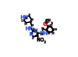 O=[N+]([O-])c1cnc(NCC2CCNCC2)nc1NCc1ccccc1OC(F)(F)F